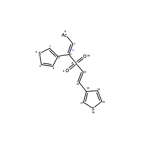 CC(=O)/C=C(\c1ccsc1)S(=O)(=O)C=Cc1ccsc1